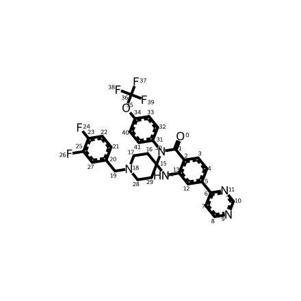 O=C1c2ccc(-c3ccncn3)cc2NC2(CCN(Cc3ccc(F)c(F)c3)CC2)N1c1ccc(OC(F)(F)F)cc1